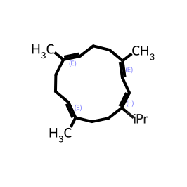 C/C1=C\C=C(\C(C)C)CC/C(C)=C/CC/C(C)=C/CC1